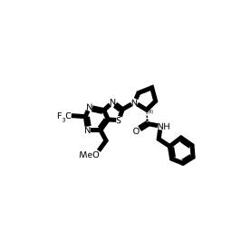 COCc1nc(C(F)(F)F)nc2nc(N3CCC[C@@H]3C(=O)NCc3ccccc3)sc12